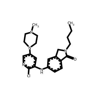 CCCCN1Cc2cc(Nc3cc(N4CCN(C)CC4)cnc3Cl)ccc2C1=O